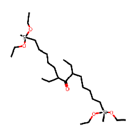 CCO[Si](C)(CCCCCC(CC)C(=O)C(CC)CCCCC[Si](C)(OCC)OCC)OCC